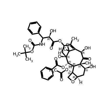 CC(=O)O[C@@]12CO[C@@H]1C[C@H](O)[C@@]1(C)C(=O)[C@H](O)C3=C(C)C(OC(=O)[C@H](O)C(NC(=O)OC(C)(C)C)c4ccccc4)C[C@@](O)([C@@H](OC(=O)c4ccccc4)[C@H]21)C3(C)C